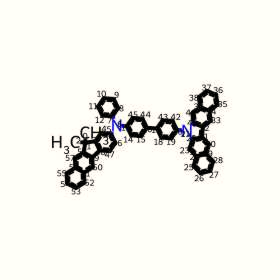 CC1(C)c2cc(N(c3ccccc3)c3ccc(-c4ccc(-n5c6cc7ccccc7cc6c6cc7ccccc7cc65)cc4)cc3)ccc2-c2cc3ccccc3cc21